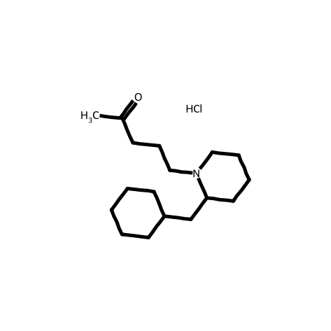 CC(=O)CCCN1CCCCC1CC1CCCCC1.Cl